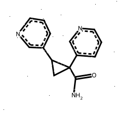 NC(=O)C1(c2cccnc2)CC1c1cccnc1